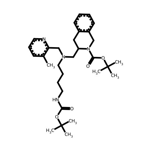 Cc1cccnc1CN(CCCCNC(=O)OC(C)(C)C)CC1Cc2ccccc2CN1C(=O)OC(C)(C)C